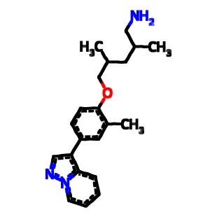 Cc1cc(-c2cnn3ccccc23)ccc1OCC(C)CC(C)CN